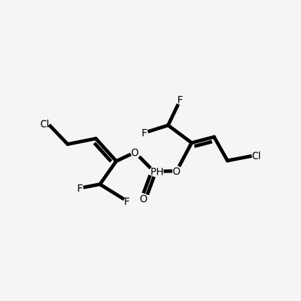 O=[PH](OC(=CCCl)C(F)F)OC(=CCCl)C(F)F